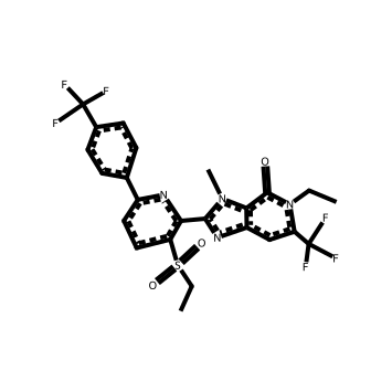 CCn1c(C(F)(F)F)cc2nc(-c3nc(-c4ccc(C(F)(F)F)cc4)ccc3S(=O)(=O)CC)n(C)c2c1=O